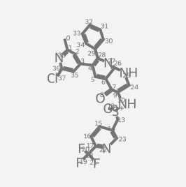 Cc1cc(-c2cc3c(=O)c(N[S+]([O-])Cc4ccc(C(F)(F)F)nc4)c[nH]c3nc2-c2ccccc2)cc(Cl)n1